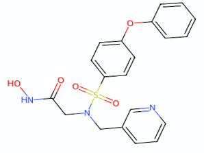 O=C(CN(Cc1cccnc1)S(=O)(=O)c1ccc(Oc2ccccc2)cc1)NO